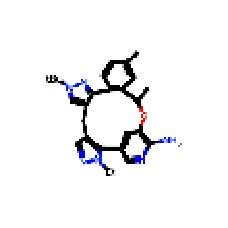 CCn1ncc2c1-c1cnc(N)c(c1)OC(C)c1cc(C)ccc1-c1nn(C(C)(C)C)cc1C2